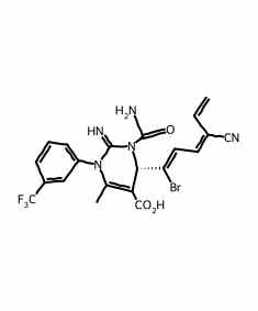 C=C/C(C#N)=C\C=C(/Br)[C@@H]1C(C(=O)O)=C(C)N(c2cccc(C(F)(F)F)c2)C(=N)N1C(N)=O